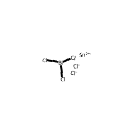 [Cl-].[Cl-].[Cl][Bi]([Cl])[Cl].[Sn+2]